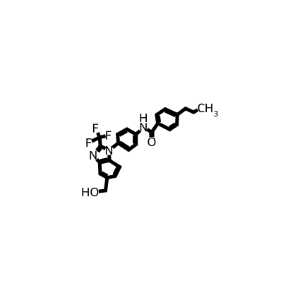 CCCc1ccc(C(=O)Nc2ccc(-n3c(C(F)(F)F)nc4cc(CO)ccc43)cc2)cc1